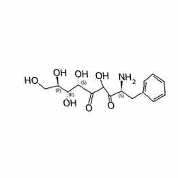 N[C@@H](Cc1ccccc1)C(=O)C(O)C(=O)[C@@H](O)[C@H](O)[C@H](O)CO